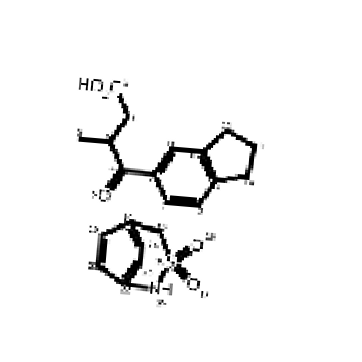 CC(CC(=O)O)C(=O)c1ccc2c(c1)CCC2.O=S1(=O)Cc2ccc(cc2)N1